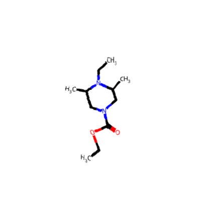 CCOC(=O)N1CC(C)N(CC)C(C)C1